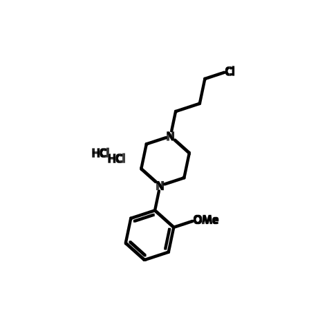 COc1ccccc1N1CCN(CCCCl)CC1.Cl.Cl